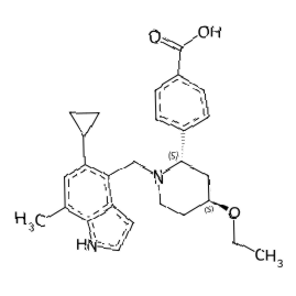 CCO[C@H]1CCN(Cc2c(C3CC3)cc(C)c3[nH]ccc23)[C@H](c2ccc(C(=O)O)cc2)C1